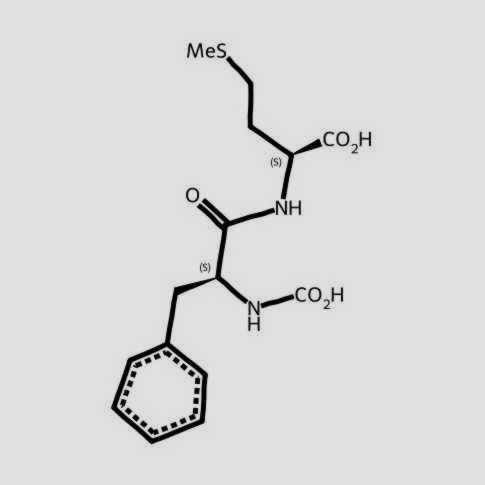 CSCC[C@H](NC(=O)[C@H](Cc1ccccc1)NC(=O)O)C(=O)O